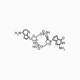 Nc1nc2c(ncn2[C@@H]2OC3COP(=O)(S)O[C@H]4C[C@H](n5ccc6c(N)ccnc65)OC4COP(=O)(S)O[C@@H]2C3)c(=O)[nH]1